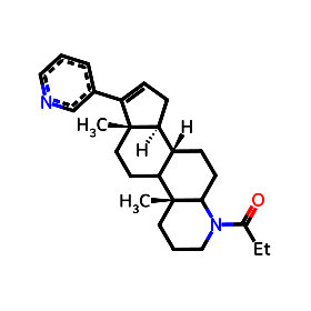 CCC(=O)N1CCC[C@]2(C)C3CC[C@]4(C)C(c5cccnc5)=CC[C@H]4[C@@H]3CCC12